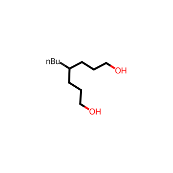 CCCCC(CCCO)CCCO